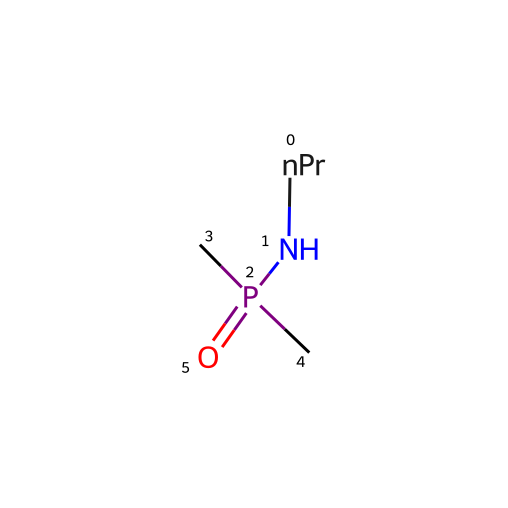 CCCNP(C)(C)=O